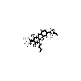 CCCCN1C(=O)C(=C(N)N)C(=O)N(CC2CCC(c3nnc(C)[nH]3)CC2)C1=O